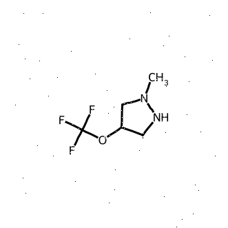 CN1CC(OC(F)(F)F)[CH]N1